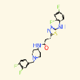 O=C(CCc1nnc(Nc2ccc(F)cc2F)s1)NC1CCN(Cc2ccc(F)c(F)c2)CC1